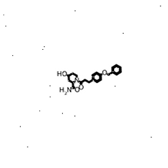 NC(=O)C1CC(O)CCN1C(=O)[CH]Cc1ccc(OCc2ccccc2)cc1